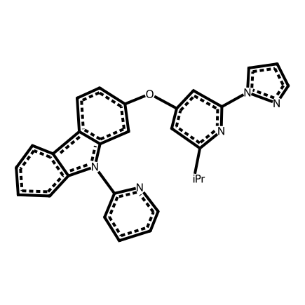 CC(C)c1cc(Oc2ccc3c4ccccc4n(-c4ccccn4)c3c2)cc(-n2cccn2)n1